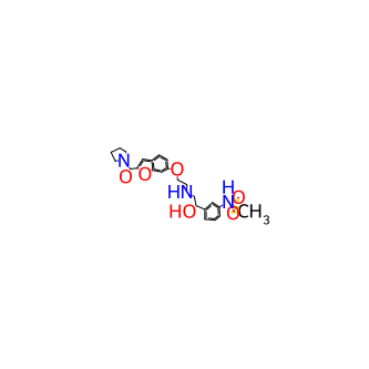 CS(=O)(=O)Nc1cccc(C(O)CNCCOc2ccc3cc(C(=O)N4CCCC4)oc3c2)c1